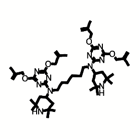 C=C(C)COc1nc(OCC(=C)C)nc(N(CCCCCCN(c2nc(OCC(=C)C)nc(OCC(=C)C)n2)C2CC(C)(C)NC(C)(C)C2)C2CC(C)(C)NC(C)(C)C2)n1